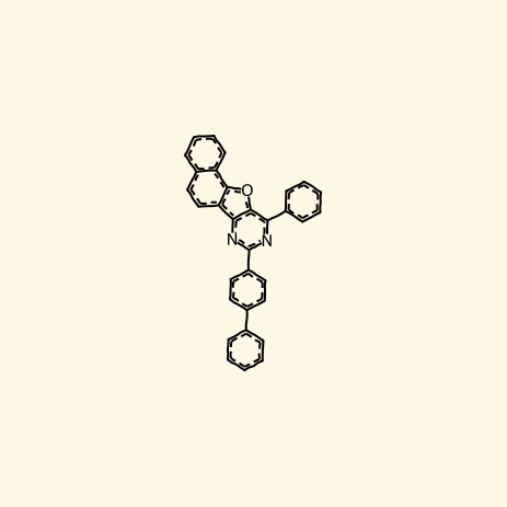 c1ccc(-c2ccc(-c3nc(-c4ccccc4)c4oc5c6ccccc6ccc5c4n3)cc2)cc1